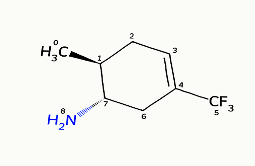 C[C@H]1CC=C(C(F)(F)F)C[C@@H]1N